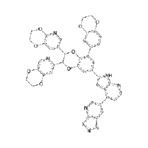 [c]1c(-c2cc3c(-c4cnc5snnc5c4)ccnc3[nH]2)cc2c(c1-c1ccc3c(n1)OCCO3)OC(c1cnc3c(c1)OCCO3)C(c1cc3c(cn1)OCCO3)O2